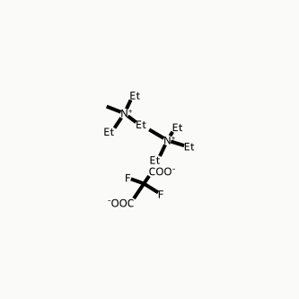 CC[N+](C)(CC)CC.CC[N+](C)(CC)CC.O=C([O-])C(F)(F)C(=O)[O-]